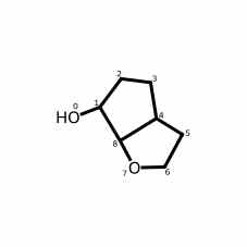 OC1CCC2CCOC12